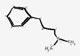 CN(C)[CH]CCc1ccccc1